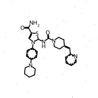 NC(=O)C1=CN(c2ccc(N3CCCCC3)cc2)C(NC(=O)N2CCC(=Cc3ccccn3)CC2)S1